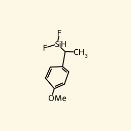 COc1ccc(C(C)[SiH](F)F)cc1